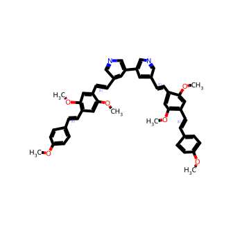 COc1ccc(/C=C/c2cc(OC)c(/C=C/c3cncc(-c4cncc(/C=C/c5cc(OC)c(/C=C/c6ccc(OC)cc6)cc5OC)c4)c3)cc2OC)cc1